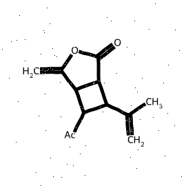 C=C(C)C1C(C(C)=O)C2C(=C)OC(=O)C12